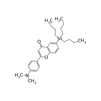 CCC[CH2][Sn]([CH2]CCC)([CH2]CCC)[c]1ccc2oc(-c3ccc(N(C)C)cc3)cc(=O)c2c1